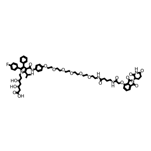 CC(C)c1c(C(=O)Nc2ccc(OCCOCCOCCOCCOCCOCCNC(=O)CCCNC(=O)COc3cccc4c3C(=O)N(C3CCC(=O)NC3=O)C4=O)cc2)c(-c2ccccc2)c(-c2ccc(F)cc2)n1CC[C@@H](O)C[C@@H](O)CC(=O)O